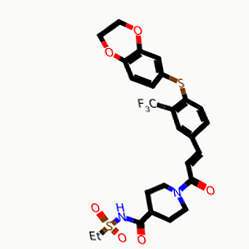 CCS(=O)(=O)NC(=O)C1CCN(C(=O)C=Cc2ccc(Sc3ccc4c(c3)OCCO4)c(C(F)(F)F)c2)CC1